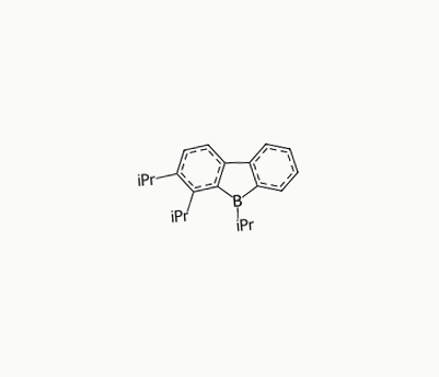 CC(C)B1c2ccccc2-c2ccc(C(C)C)c(C(C)C)c21